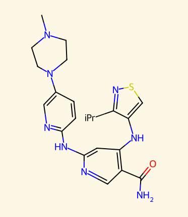 CC(C)c1nscc1Nc1cc(Nc2ccc(N3CCN(C)CC3)cn2)ncc1C(N)=O